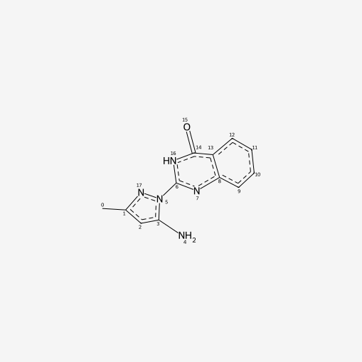 Cc1cc(N)n(-c2nc3ccccc3c(=O)[nH]2)n1